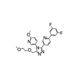 COCCOCc1nnc(-c2ccc(-c3cc(F)cc(F)c3)nc2)n1-c1ccc(OC)nc1